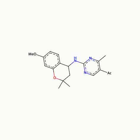 COc1ccc2c(c1)OC(C)(C)CC2Nc1ncc(C(C)=O)c(C)n1